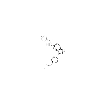 NCc1ccc(-c2cnc3ccc(NCC4CCOC4)nn23)cc1